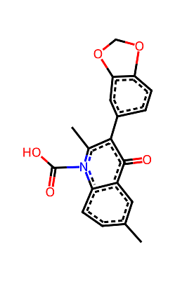 Cc1ccc2c(c1)c(=O)c(-c1ccc3c(c1)OCO3)c(C)n2C(=O)O